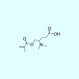 C=C(C)C(=O)OCC(CCC(=O)O)N(C)C